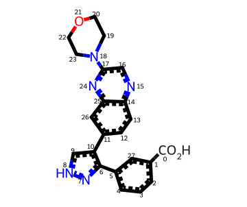 O=C(O)c1cccc(-c2n[nH]cc2-c2ccc3ncc(N4CCOCC4)nc3c2)c1